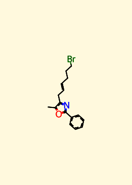 Cc1oc(-c2ccccc2)nc1C/C=C/CCCBr